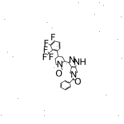 O=CN1CCC(c2ccc(F)c(F)c2C(F)(F)F)CC1c1n[nH]c2c1CN(C(=O)c1ccccc1)C2